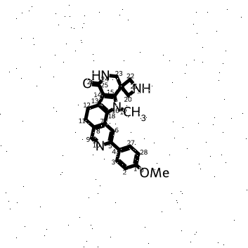 COc1ccc(-c2cc3c(cn2)CCc2c4c(n(C)c2-3)C2(CNC2)CNC4=O)cc1